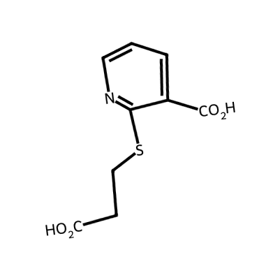 O=C(O)CCSc1ncccc1C(=O)O